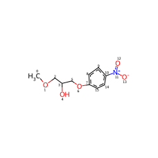 COCC(O)COc1ccc([N+](=O)[O-])cc1